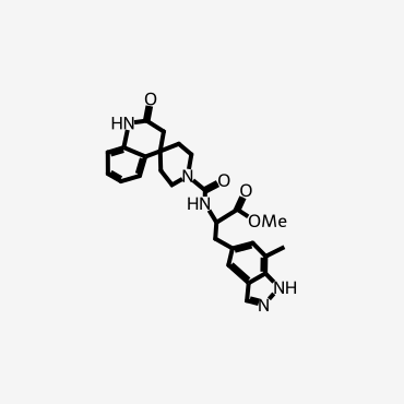 COC(=O)C(Cc1cc(C)c2[nH]ncc2c1)NC(=O)N1CCC2(CC1)CC(=O)Nc1ccccc12